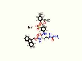 NC(=O)NCCC[C@H](NC(=O)OCC1c2ccccc2-c2ccccc21)C(=O)Nc1ccc(C(OC=O)Oc2ccc([N+](=O)[O-])cc2)c(S(=O)(=O)[O-])c1.[Na+]